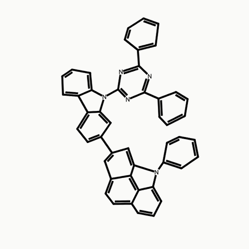 c1ccc(-c2nc(-c3ccccc3)nc(-n3c4ccccc4c4ccc(-c5cc6ccc7cccc8c7c6c(c5)n8-c5ccccc5)cc43)n2)cc1